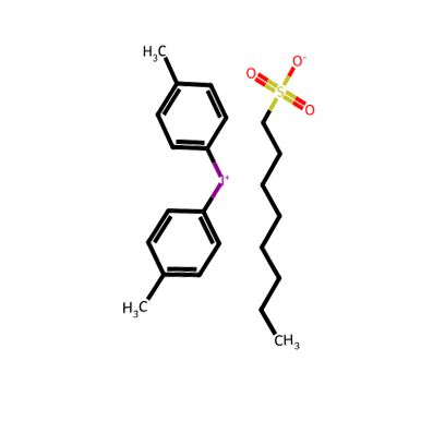 CCCCCCCCS(=O)(=O)[O-].Cc1ccc([I+]c2ccc(C)cc2)cc1